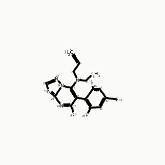 C=CCN(CC)c1c(-c2c(F)cc(F)cc2F)c(Cl)nc2ncnn12